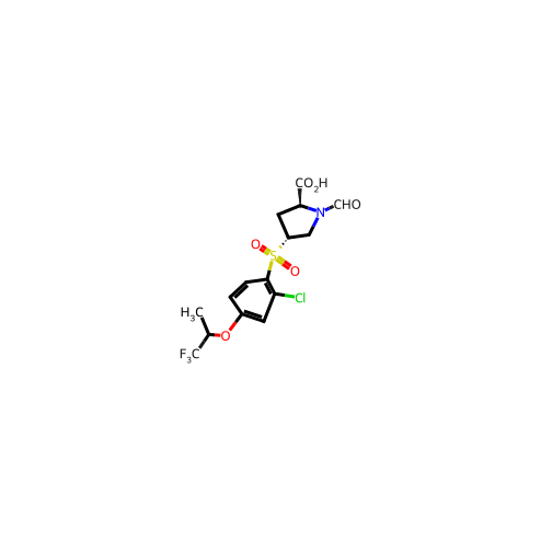 CC(Oc1ccc(S(=O)(=O)[C@@H]2C[C@@H](C(=O)O)N(C=O)C2)c(Cl)c1)C(F)(F)F